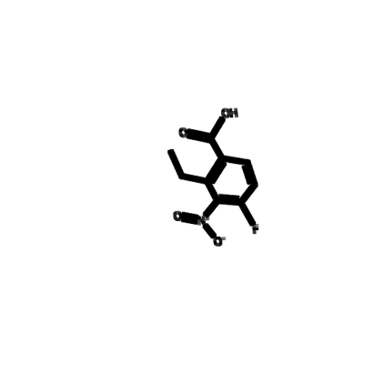 CCc1c(C(=O)O)ccc(F)c1[N+](=O)[O-]